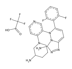 NC1CCCN(c2ccncc2N2C(c3c(F)cccc3F)=CC=C3N=NC(N)N32)C1.O=C(O)C(F)(F)F